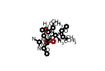 CC(C)(C)c1ccc2c(c1)c1c3oc4ccccc4c3ccc1n2-c1cc(-n2c3ccc(C(C)(C)C)cc3c3c4oc5ccccc5c4ccc32)c(C#N)c(-c2cccc3c2oc2c3ccc3c2c2cc(-c4ccccc4)ccc2n3-c2cc(C#N)cc(C#N)c2-n2c3ccc(-c4ccccc4)cc3c3c4oc5ccccc5c4ccc32)c1C#N